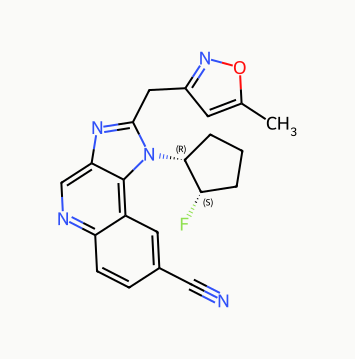 Cc1cc(Cc2nc3cnc4ccc(C#N)cc4c3n2[C@@H]2CCC[C@@H]2F)no1